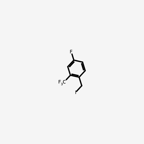 Fc1ccc(CI)c(C(F)(F)F)c1